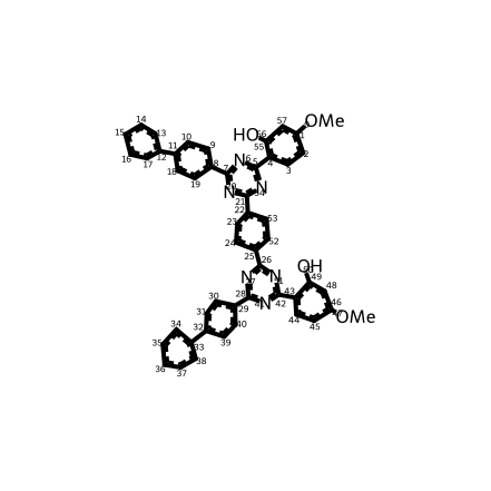 COc1ccc(-c2nc(-c3ccc(-c4ccccc4)cc3)nc(-c3ccc(-c4nc(-c5ccc(-c6ccccc6)cc5)nc(-c5ccc(OC)cc5O)n4)cc3)n2)c(O)c1